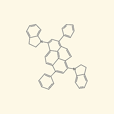 c1ccc(-c2cc(N3CCc4ccccc43)c3ccc4c(-c5ccccc5)cc(N5CCc6ccccc65)c5ccc2c3c45)cc1